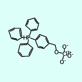 [O-][Cl+3]([O-])([O-])OCc1ccc([PH](c2ccccc2)(c2ccccc2)c2ccccc2)cc1